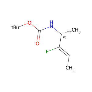 CC=C(F)[C@@H](C)NC(=O)OC(C)(C)C